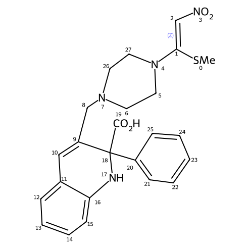 CS/C(=C\[N+](=O)[O-])N1CCN(CC2=Cc3ccccc3NC2(C(=O)O)c2ccccc2)CC1